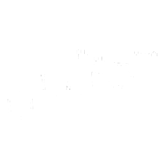 CCCOc1cccc(C2(C)CCN(CC(=O)c3ccccc3)CC2C)c1